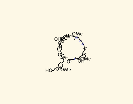 CO[C@H]1C[C@@H]2CC[C@@H](C)[C@@](C=O)(OC(=O)N3CCCC(C3)C(=O)O[C@H]([C@H](C)CC3CC[C@@H](OCCO)[C@H](OC)C3)CC(=O)[C@H](C)/C=C(\C)[C@@H](O)[C@@H](OC)C(=O)[C@H](C)C[C@H](C)/C=C/C=C/C=C/1C)O2